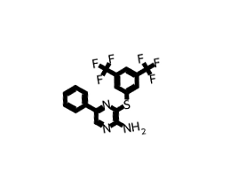 Nc1ncc(-c2ccccc2)nc1Sc1cc(C(F)(F)F)cc(C(F)(F)F)c1